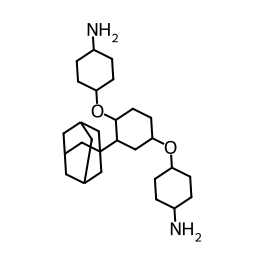 NC1CCC(OC2CCC(OC3CCC(N)CC3)C(C34CC5CC(CC(C5)C3)C4)C2)CC1